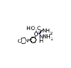 NN/C(Oc1cccc(N2CCOCC2)c1)=C(\N)C(=O)O